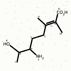 C/C(CCC(N)C(C)O)=C(/C)C(=O)O